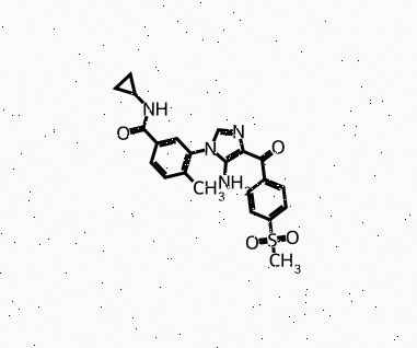 Cc1ccc(C(=O)NC2CC2)cc1-n1cnc(C(=O)c2ccc(S(C)(=O)=O)cc2)c1N